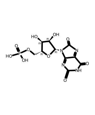 O=C1N=C2C(=NC(=O)N2[C@@H]2O[C@H](COP(=O)(O)O)[C@@H](O)[C@H]2O)C(=O)N1